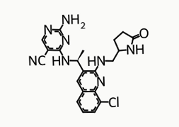 C[C@H](Nc1nc(N)ncc1C#N)c1cc2cccc(Cl)c2nc1NCC1CCC(=O)N1